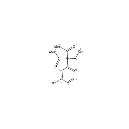 COC(=O)C(CO)(C(=O)OC)c1cccc(Br)c1